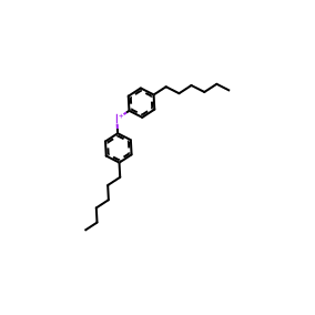 CCCCCCc1ccc([I+]c2ccc(CCCCCC)cc2)cc1